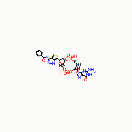 CO[C@H]1[C@H]2OP(=O)(O)OC[C@H]3O[C@@H](c4scc5c(NC(=O)c6ccccc6)ncnc45)C[C@@H]3OP(=O)(O)OC[C@H]1O[C@H]2n1cnc2c(=O)[nH]c(N)nc21